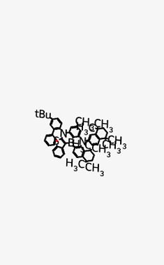 Cc1cc2c3c(c1)N(c1ccc4c(c1)C(C)(C)CCC4(C)C)c1c(ccc4c1C(C)(C)CCC4(C)C)B3c1c(sc3ccccc13)N2c1ccc(C(C)(C)C)cc1-c1ccccc1